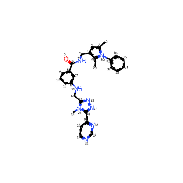 Cc1cc(CNC(=O)c2cccc(NCc3nnc(-c4ccncn4)n3C)c2)c(C)n1-c1ccccc1